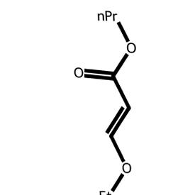 CCCOC(=O)/C=C/OCC